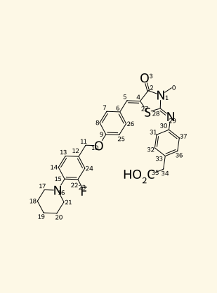 CN1C(=O)C(=Cc2ccc(OCc3ccc(N4CCCCC4)c(F)c3)cc2)SC1=Nc1ccc(CC(=O)O)cc1